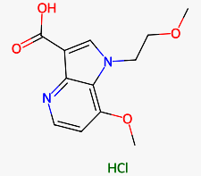 COCCn1cc(C(=O)O)c2nccc(OC)c21.Cl